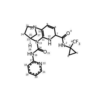 O=C(NC1(C(F)(F)F)CC1)C1C=CC2=C(N1)N(C(=O)Nc1ccccn1)[C@H]1CCN2C1